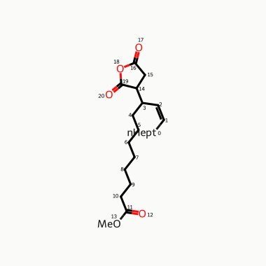 CCCCCCC/C=C\C(CCCCCCCC(=O)OC)C1CC(=O)OC1=O